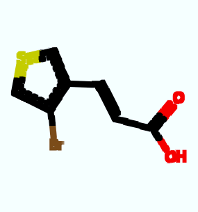 O=C(O)C=Cc1cscc1Br